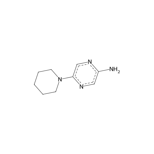 Nc1cnc(N2CCCCC2)cn1